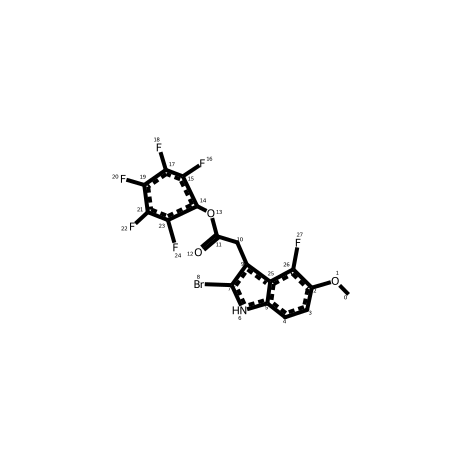 COc1ccc2[nH]c(Br)c(CC(=O)Oc3c(F)c(F)c(F)c(F)c3F)c2c1F